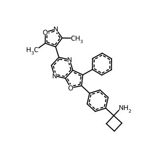 Cc1noc(C)c1-c1cnc2oc(-c3ccc(C4(N)CCC4)cc3)c(-c3ccccc3)c2n1